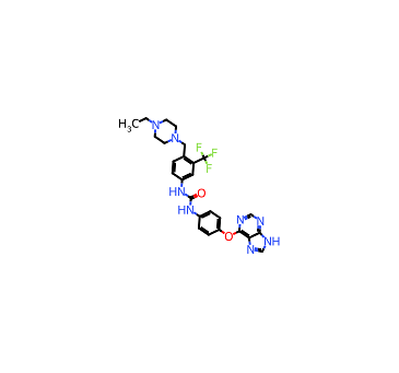 CCN1CCN(Cc2ccc(NC(=O)Nc3ccc(Oc4ncnc5[nH]cnc45)cc3)cc2C(F)(F)F)CC1